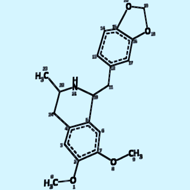 COc1cc2c(cc1OC)C(Cc1ccc3c(c1)OCO3)NC(C)C2